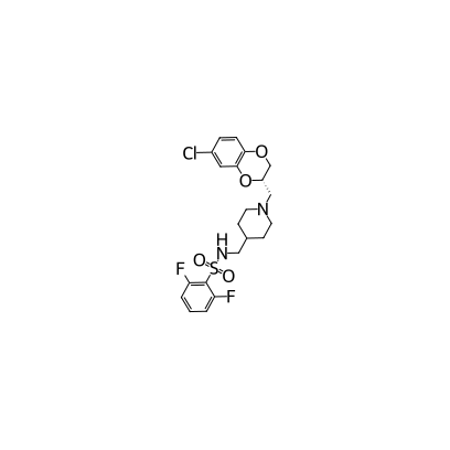 O=S(=O)(NCC1CCN(C[C@H]2COc3ccc(Cl)cc3O2)CC1)c1c(F)cccc1F